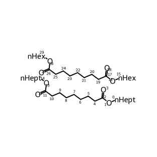 CCCCCCCOC(=O)CCCCCCCC(=O)OCCCCCCC.CCCCCCOC(=O)CCCCCCCC(=O)OCCCCCC